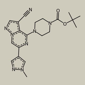 Cn1cc(-c2cn3ncc(C#N)c3c(N3CCN(C(=O)OC(C)(C)C)CC3)n2)cn1